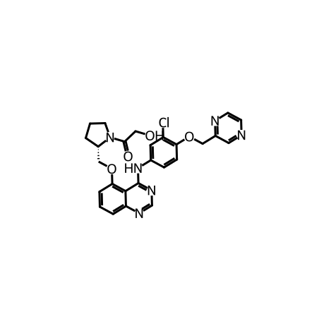 O=C(CO)N1CCC[C@H]1COc1cccc2ncnc(Nc3ccc(OCc4cnccn4)c(Cl)c3)c12